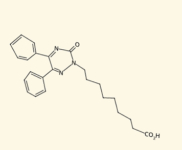 O=C(O)CCCCCCCCn1nc(-c2ccccc2)c(-c2ccccc2)nc1=O